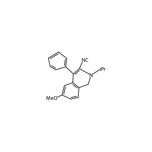 [C-]#[N+]C1=C(c2ccccc2)c2cc(OC)ccc2CN1C(C)C